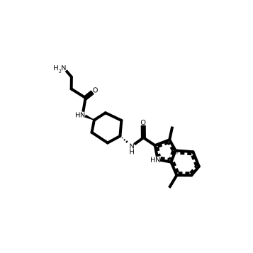 Cc1c(C(=O)N[C@H]2CC[C@H](NC(=O)CCN)CC2)[nH]c2c(C)cccc12